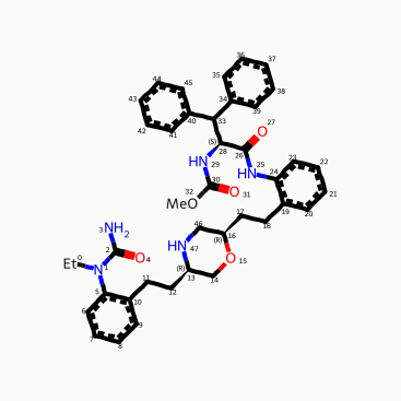 CCN(C(N)=O)c1ccccc1CC[C@@H]1CO[C@H](CCc2ccccc2NC(=O)[C@@H](NC(=O)OC)C(c2ccccc2)c2ccccc2)CN1